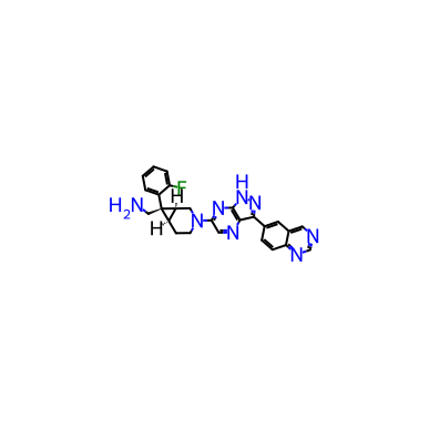 NC[C@]1(c2ccccc2F)[C@@H]2CCN(c3cnc4c(-c5ccc6ncncc6c5)n[nH]c4n3)C[C@@H]21